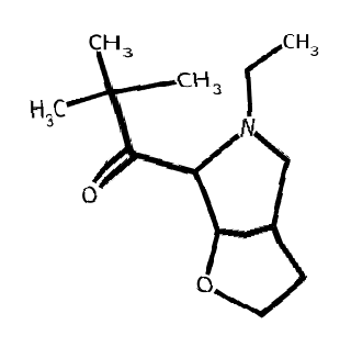 CCN1CC2CCOC2C1C(=O)C(C)(C)C